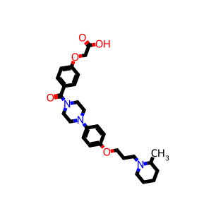 CC1CCCCN1CCCOc1ccc(N2CCN(C(=O)c3ccc(OCC(=O)O)cc3)CC2)cc1